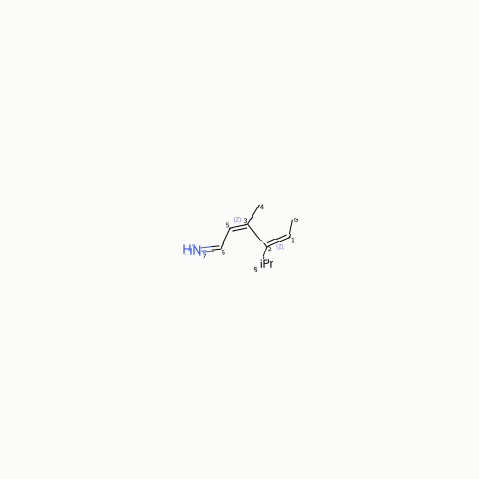 C/C=C(\C(C)=C/C=N)C(C)C